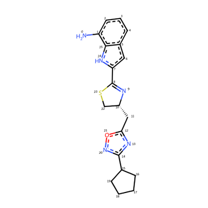 Nc1cccc2cc(C3=N[C@H](Cc4nc(C5CCCC5)no4)CS3)[nH]c12